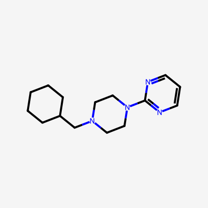 c1cnc(N2CCN(CC3CCCCC3)CC2)nc1